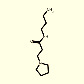 NCCCNC(=O)CCN1CCCC1